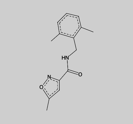 Cc1cc(C(=O)NCc2c(C)cccc2C)no1